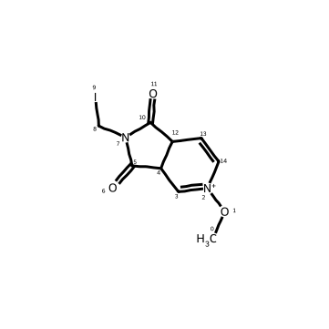 CO[N+]1=CC2C(=O)N(CI)C(=O)C2C=C1